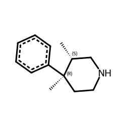 C[C@@H]1CNCC[C@@]1(C)c1ccccc1